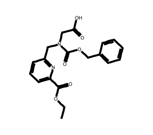 CCOC(=O)c1cccc(CN(CC(=O)O)C(=O)OCc2ccccc2)n1